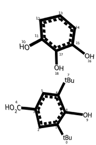 CC(C)(C)c1cc(C(=O)O)cc(C(C)(C)C)c1O.Oc1cccc(O)c1O